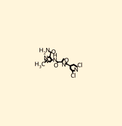 Cn1cc(NC(=O)c2coc(-c3cc(Cl)nc(Cl)c3)n2)c(C(N)=O)n1